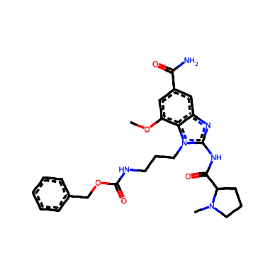 COc1cc(C(N)=O)cc2nc(NC(=O)C3CCCN3C)n(CCCNC(=O)OCc3ccccc3)c12